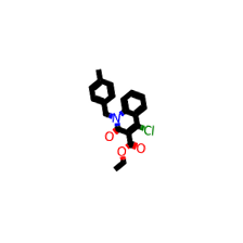 CCOC(=O)c1c(Cl)c2ccccc2n(Cc2ccc(C)cc2)c1=O